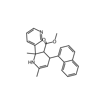 COC(=O)C1C(c2cccc3ccccc23)C=C(C)NC1(C)c1cccnc1